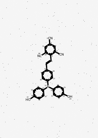 N#Cc1cc(C#N)c(C=Cc2ccc(N(c3ccc(O)cc3)c3ccc(O)cc3)cc2)c(C#N)c1